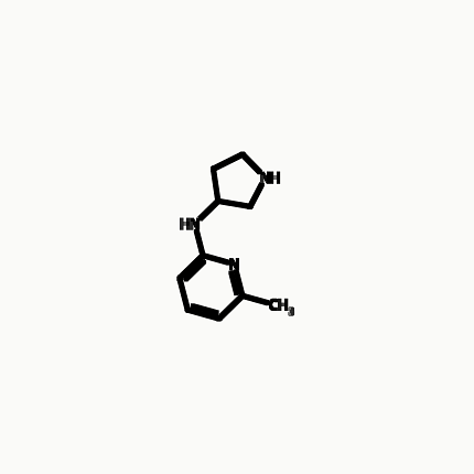 Cc1cccc(NC2CCNC2)n1